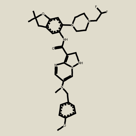 COc1ccc(CN(C)C2=CN3NCC(C(=O)Nc4cc5c(cc4N4CCN(CC(F)F)CC4)OC(C)(C)C5)=C3N=C2)cc1